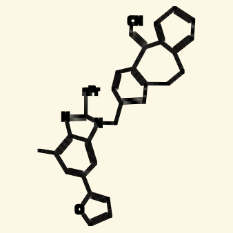 CCCc1nc2c(C)cc(-c3ccco3)cc2n1Cc1ccc2c(c1)CCc1ccccc1C2=CC#N